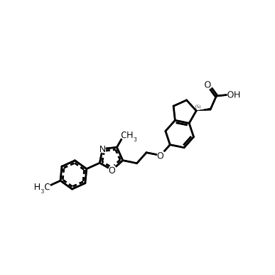 Cc1ccc(-c2nc(C)c(CCOC3C=CC4=C(CC[C@H]4CC(=O)O)C3)o2)cc1